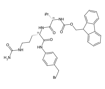 CC(C)[C@H](NC(=O)OCC1c2ccccc2-c2ccccc21)C(=O)N[C@@H](CCCNC(N)=O)C(=O)Nc1ccc(CBr)cc1